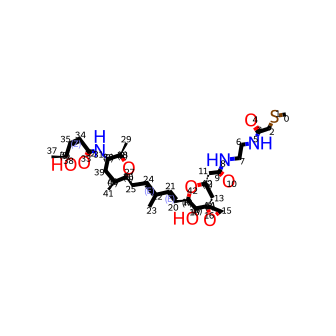 CSCC(=O)NCCNC(=O)C[C@@H]1C[C@@]2(CO2)[C@H](O)[C@@H](/C=C/C(C)=C/C[C@@H]2O[C@H](C)[C@H](NC(=O)/C=C\[C@H](C)O)C[C@@H]2C)O1